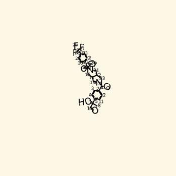 O=C(c1ccc(C2(O)COC2)cc1)N1CC2CN(S(=O)(=O)c3ccc(C(F)(F)F)cc3)CC2C1